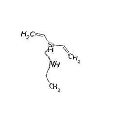 C=C[SiH](C=C)CNCC